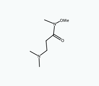 CON(C)C(=O)CCN(C)C